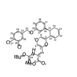 COC(=O)C(=CC1=COC=C(C2=CC=CC[C@@H]2c2cccc(OCc3ccc(Cl)c(Cl)c3)c2)O1)NC(=O)OC(C)(C)C